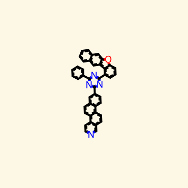 c1ccc(-c2nc(-c3ccc4c(ccc5c6ccncc6ccc45)c3)nc(-c3cccc4oc5cc6ccccc6cc5c34)n2)cc1